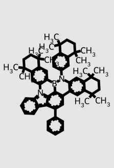 CC1(C)CCC(C)(C)c2cc(N3B4c5cc6c(cc5-n5c7ccccc7c7c(-c8ccccc8)cc(c4c75)-c4cc5c(cc43)C(C)(C)CCC5(C)C)C(C)(C)CCC6(C)C)ccc21